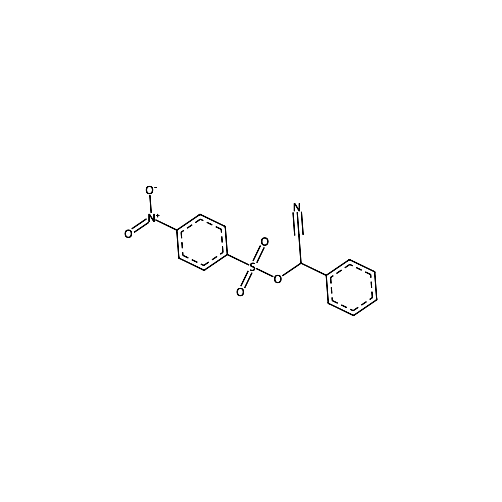 N#CC(OS(=O)(=O)c1ccc([N+](=O)[O-])cc1)c1ccccc1